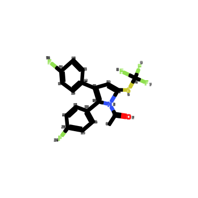 CC(=O)n1c(SC(F)(F)F)cc(-c2ccc(F)cc2)c1-c1ccc(F)cc1